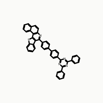 c1ccc(-c2nc(-c3ccccc3)nc(-c3ccc(-c4ccc(-c5nc6ccc7ccccc7c6c6sc7ccccc7c56)cc4)cc3)n2)cc1